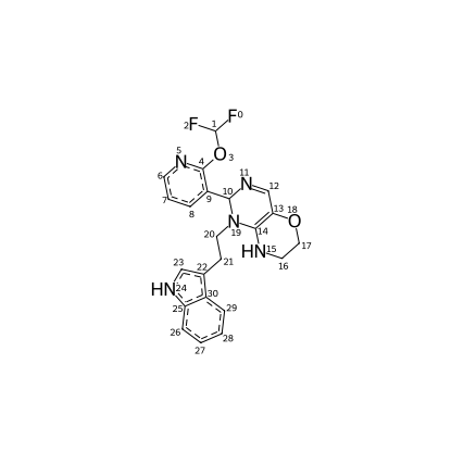 FC(F)Oc1ncccc1C1N=CC2=C(NCCO2)N1CCc1c[nH]c2ccccc12